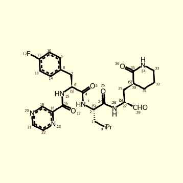 CC(C)C[C@H](NC(=O)[C@H](Cc1ccc(F)cc1)NC(=O)c1cnccn1)C(=O)N[C@H](C=O)C[C@@H]1CCCNC1=O